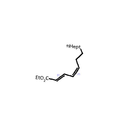 CCCCCCCCC/C=C\C=C\C(=O)OCC